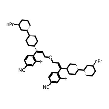 CCC[C@H]1CCC[C@H]([C@H]2CC[C@H](C(=CCOCC=C(c3ccc(C#N)cc3F)[C@H]3CC[C@H]([C@H]4CCC[C@H](CCC)C4)CC3)c3ccc(C#N)cc3F)CC2)C1